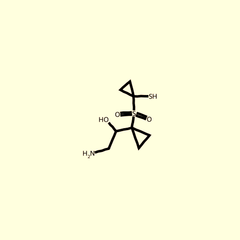 NCC(O)C1(S(=O)(=O)C2(S)CC2)CC1